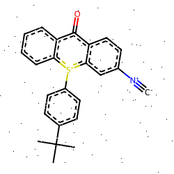 [C-]#[N+]c1ccc2c(=O)c3ccccc3[s+](-c3ccc(C(C)(C)C)cc3)c2c1